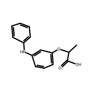 CC(Oc1cccc(Nc2ccccc2)c1)C(=O)O